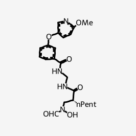 CCCCC[C@H](CN(O)C=O)C(=O)NCNC(=O)c1cccc(Oc2ccc(OC)nc2)c1